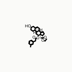 Cc1cccc(CC(=O)O[C@@H]2C[C@H]3[C@@H](CC=C4C[C@@H](O)CC[C@@]43C)C3=CC[C@H](C4(C)OCCO4)[C@]32C)c1